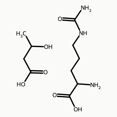 CC(O)CC(=O)O.NC(=O)NCCCC(N)C(=O)O